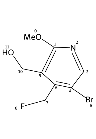 COc1ncc(Br)c(CF)c1CO